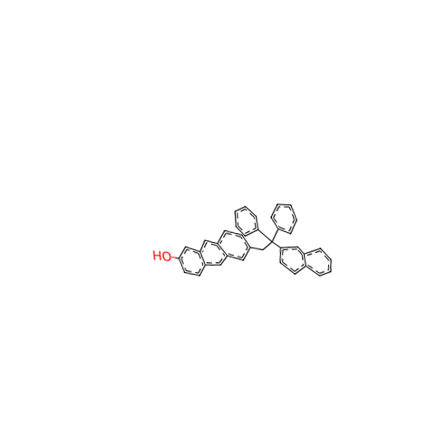 Oc1ccc2cc3cc(CC(c4ccccc4)(c4ccccc4)c4ccc5ccccc5c4)ccc3cc2c1